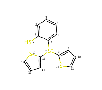 Sc1ccccc1[S+](c1cccs1)c1cccs1